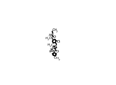 CCCNC(=O)N(C)c1ccc(Cn2cc(C(=O)N(c3ccc(C)cc3)[SH](=O)=O)nc2C)c(Cl)c1